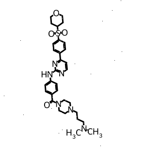 CN(C)CCCN1CCN(C(=O)c2ccc(Nc3nccc(-c4ccc(S(=O)(=O)C5CCOCC5)cc4)n3)cc2)CC1